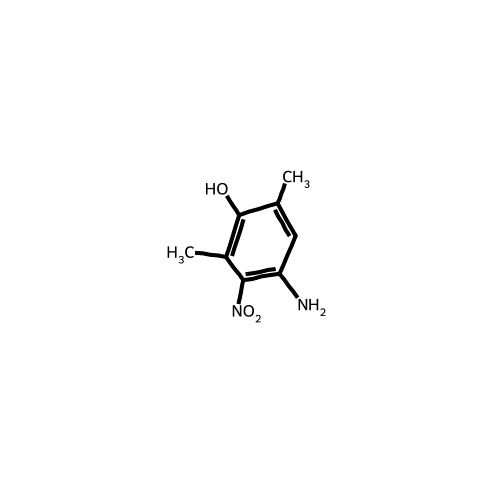 Cc1cc(N)c([N+](=O)[O-])c(C)c1O